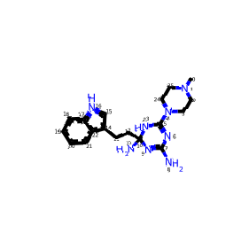 CN1CCN(C2=NC(N)=NC(N)(CCc3c[nH]c4ccccc34)N2)CC1